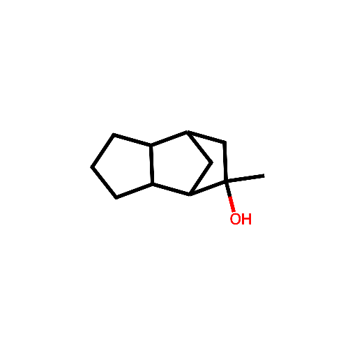 CC1(O)CC2CC1C1CCCC21